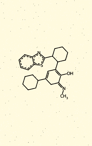 CN=C1CC(C2CCCCC2)=CC(C2CCCCC2c2nc3ccccc3s2)=C1O